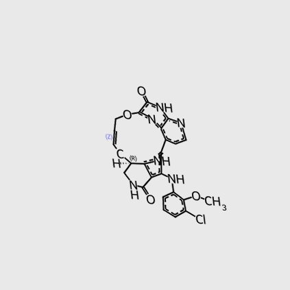 COc1c(Cl)cccc1Nc1c2[nH]c3c1C(=O)NC[C@H]3C/C=C\COc1nc3c-2ccnc3[nH]c1=O